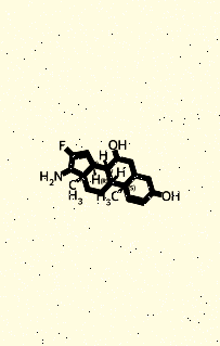 C[C@]12C=CC(O)CC1CC(O)[C@@H]1[C@H]2CC[C@]2(C)C(N)C(F)=C[C@@H]12